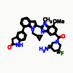 COc1cc(C(=O)N2C[C@H](N)C[C@@H](F)C2)cc2nc(-c3cc4cccc(-c5ccc6c(c5)CC(=O)N6)c4n3CC3CC3)n(C)c12